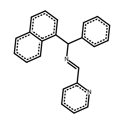 C(=N\C(c1ccccc1)c1cccc2ccccc12)/c1ccccn1